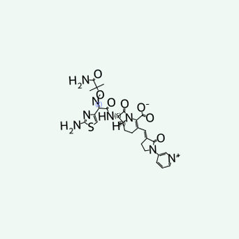 C[n+]1cccc(N2CCC(=CC3=C(C(=O)[O-])N4C(=O)[C@@H](NC(=O)/C(=N\OC(C)(C)C(N)=O)c5csc(N)n5)[C@H]4CC3)C2=O)c1